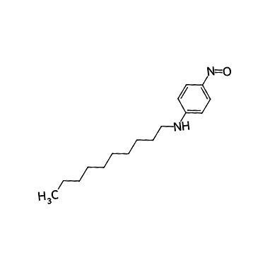 CCCCCCCCCCNc1ccc(N=O)cc1